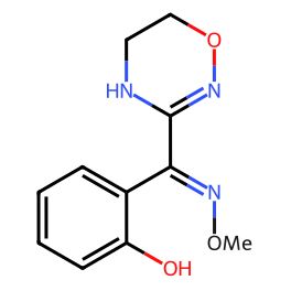 CON=C(C1=NOCCN1)c1ccccc1O